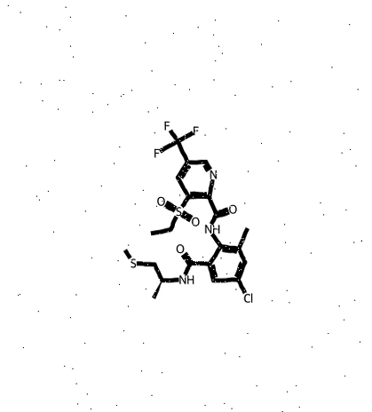 CCS(=O)(=O)c1cc(C(F)(F)F)cnc1C(=O)Nc1c(C)cc(Cl)cc1C(=O)N[C@@H](C)CSC